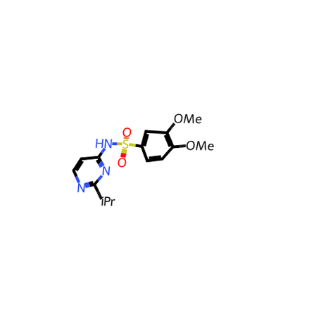 COc1ccc(S(=O)(=O)Nc2ccnc(C(C)C)n2)cc1OC